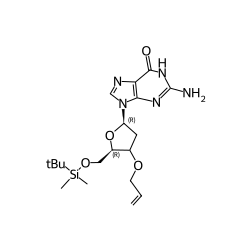 C=CCOC1C[C@H](n2cnc3c(=O)[nH]c(N)nc32)O[C@@H]1CO[Si](C)(C)C(C)(C)C